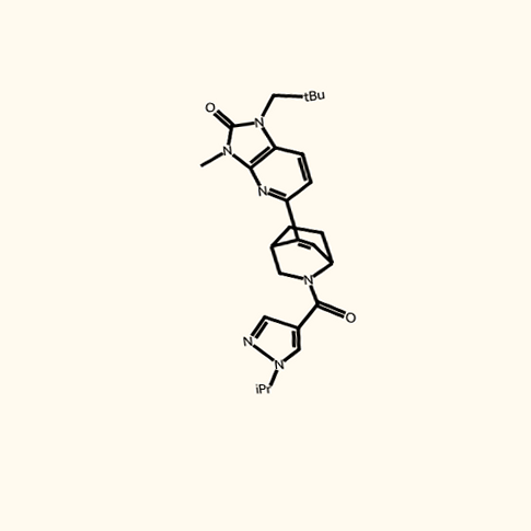 CC(C)n1cc(C(=O)N2CC3CCC2C=C3c2ccc3c(n2)n(C)c(=O)n3CC(C)(C)C)cn1